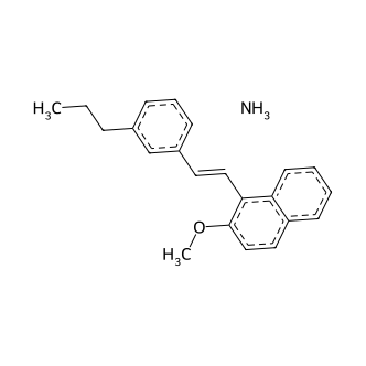 CCCc1cccc(C=Cc2c(OC)ccc3ccccc23)c1.N